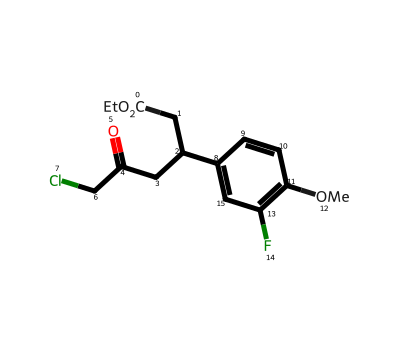 CCOC(=O)CC(CC(=O)CCl)c1ccc(OC)c(F)c1